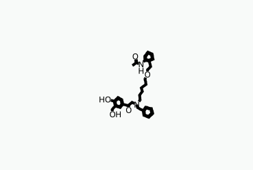 CC(=O)Nc1ccccc1CCOCCCCCCN(CC(=O)c1ccc(O)c(CO)c1)Cc1ccccc1